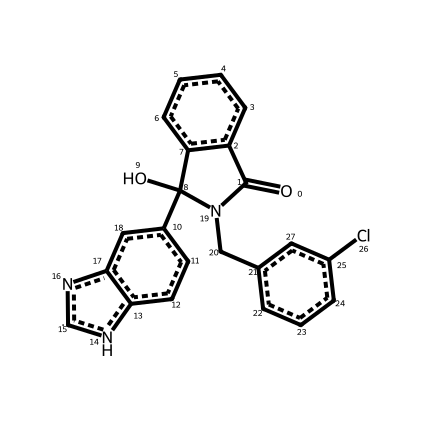 O=C1c2ccccc2C(O)(c2ccc3[nH][c]nc3c2)N1Cc1cccc(Cl)c1